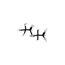 CC(C)(NC(=O)C(F)(F)F)C(=O)Cl